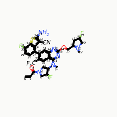 C=CC(=O)N1CC(F)C(N(C)c2nc(OCC3CC(F)CN3C)nc3cc(-c4ccc(F)c5sc(N)c(C#N)c45)c(C(F)(F)F)cc23)C1